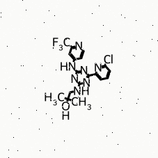 CC(C)(O)CNc1nc(Nc2ccnc(C(F)(F)F)c2)nc(-c2cccc(Cl)n2)n1